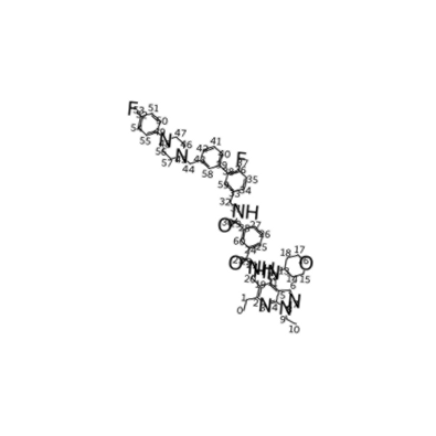 CCc1nc2c(cnn2CC)c(NC2CCOCC2)c1CNC(=O)c1cccc(C(=O)NCc2ccc(F)c(-c3cccc(CN4CCN(c5ccc(F)cc5)CC4)c3)c2)c1